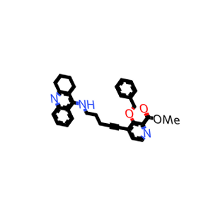 COC(=O)c1nccc(C#CCCCNc2c3c(nc4ccccc24)CCCC3)c1OCc1ccccc1